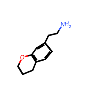 NCCc1ccc2c(c1)OCCC2